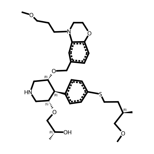 COCCCN1CCOc2ccc(CO[C@H]3CNC[C@@H](OC[C@@H](C)O)[C@@H]3c3ccc(SCC[C@@H](C)COC)cc3)cc21